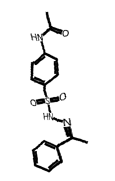 CC(=O)Nc1ccc(S(=O)(=O)NN=C(C)c2ccccc2)cc1